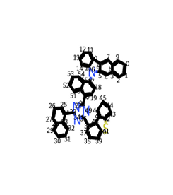 c1ccc2cc3c(cc2c1)c1ccccc1n3-c1ccc(-c2nc(-c3cccc4ccccc34)nc(-c3cccc4sc5ccccc5c34)n2)c2ccccc12